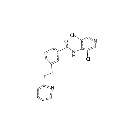 O=C(Nc1c(Cl)cncc1Cl)c1cccc(CCc2ccccn2)c1